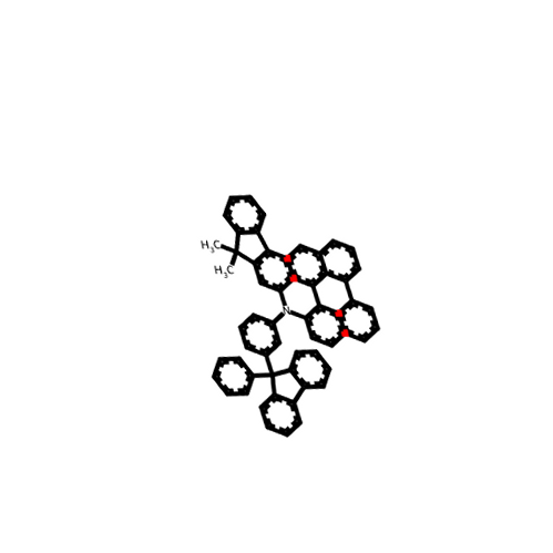 CC1(C)c2ccccc2-c2ccc(N(c3cccc(C4(c5ccccc5)c5ccccc5-c5ccccc54)c3)c3ccccc3-c3cccc4cccc(-c5ccccc5)c34)cc21